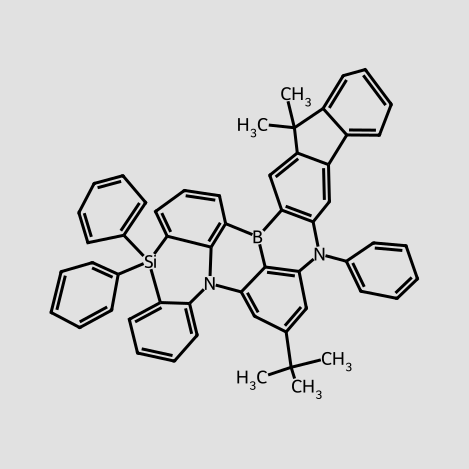 CC(C)(C)c1cc2c3c(c1)N1c4ccccc4[Si](c4ccccc4)(c4ccccc4)c4cccc(c41)B3c1cc3c(cc1N2c1ccccc1)-c1ccccc1C3(C)C